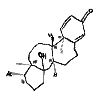 CC(=O)[C@H]1CCC2(O)[C@@H]3CCC4=CC(=O)C=C[C@]4(C)[C@H]3CC[C@]12C